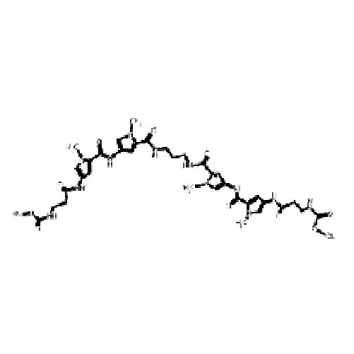 Cn1cc(NC(=O)c2cc(NC(=O)CCNC(=O)OC(C)(C)C)cn2C)cc1C(=O)NCCCNC(=O)c1cc(NC(=O)c2cc(NC(=O)CCNC(=O)OC(C)(C)C)cn2C)cn1C